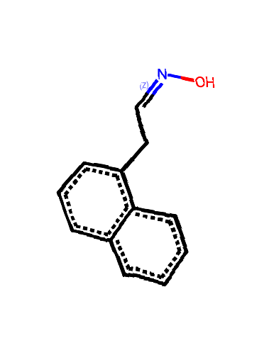 O/N=C\Cc1cccc2ccccc12